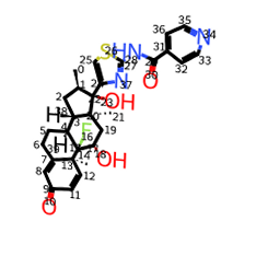 C[C@@H]1C[C@H]2[C@@H]3CCC4=CC(=O)C=C[C@]4(C)[C@@]3(F)[C@@H](O)C[C@]2(C)[C@@]1(O)c1csc(NC(=O)c2ccncc2)n1